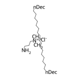 CCCCCCCCCCCCCCCCCCC(CCCCCCCCCCCCCCCCCC)[N+](C)(C)CCCN.[Cl-]